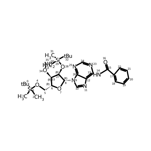 CC(C)(C)[Si](C)(C)OC[C@H]1O[C@@H](n2cnc3c(NC(=O)c4ccccc4)ncnc32)[C@H](O[Si](C)(C)C(C)(C)C)[C@@H]1O[N+](=O)[O-]